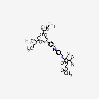 CCCCC(CC)C(=O)OCCN(CCOC(=O)C(CC)CCCC)c1ccc(/N=N/c2ccc(/C=C/C3=C(C#N)C(=C(C#N)C#N)N(CCOC(C)=O)C3=O)cc2)cc1